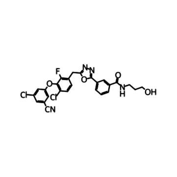 N#Cc1cc(Cl)cc(Oc2c(Cl)ccc(Cc3nnc(-c4cccc(C(=O)NCCCO)c4)o3)c2F)c1